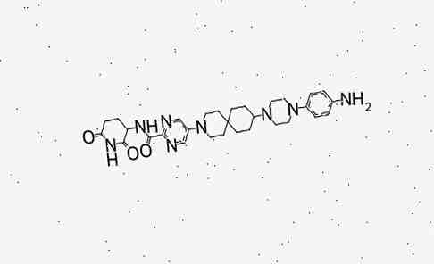 Nc1ccc(N2CCN(C3CCC4(CC3)CCN(c3cnc(C(=O)NC5CCC(=O)NC5=O)nc3)CC4)CC2)cc1